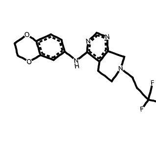 FC(F)(F)CCN1CCc2c(ncnc2Nc2ccc3c(c2)OCCO3)C1